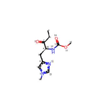 CCC(=O)[C@H](Cc1cn(C)cn1)NC(=O)OC